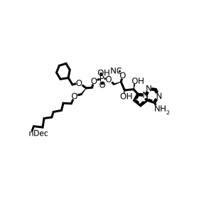 CCCCCCCCCCCCCCCCCCOC[C@H](COP(=O)(O)OC[C@@H](OC#N)[C@@H](O)[C@@H](O)c1ccc2c(N)ncnn12)OCC1CCCCC1